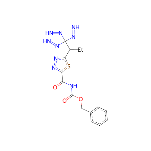 CCC(c1nnc(C(=O)NC(=O)OCc2ccccc2)s1)C(N=N)(N=N)N=N